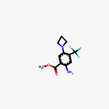 COC(=O)c1cc(N2CCC2)c(C(F)(F)F)cc1N